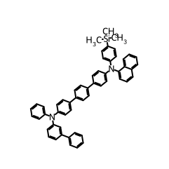 C[Si](C)(C)c1ccc(N(c2ccc(-c3ccc(-c4ccc(N(c5ccccc5)c5cccc(-c6ccccc6)c5)cc4)cc3)cc2)c2cccc3ccccc23)cc1